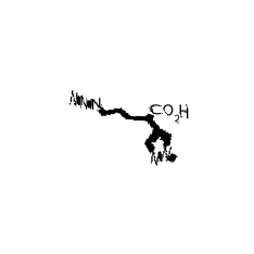 Cn1cc(C(CCCN=[N+]=[N-])C(=O)O)cn1